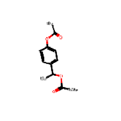 CNC(=O)OC(c1ccc(OC(=O)C(C)(C)C)cc1)C(C)(C)C